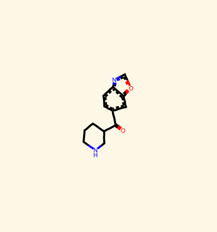 O=C(c1ccc2ncoc2c1)C1CCCNC1